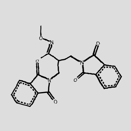 CON=C(C)C(CN1C(=O)c2ccccc2C1=O)CN1C(=O)c2ccccc2C1=O